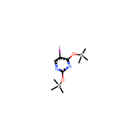 C[Si](C)(C)Oc1ncc(I)c(O[Si](C)(C)C)n1